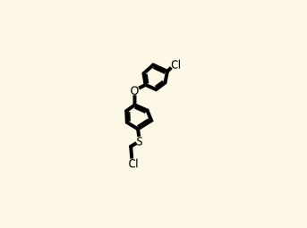 ClCSc1ccc(Oc2ccc(Cl)cc2)cc1